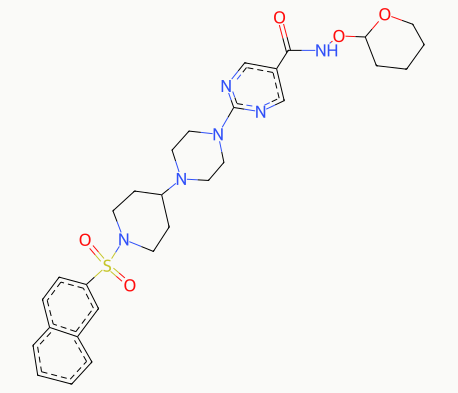 O=C(NOC1CCCCO1)c1cnc(N2CCN(C3CCN(S(=O)(=O)c4ccc5ccccc5c4)CC3)CC2)nc1